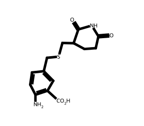 Nc1ccc(CSCC2CCC(=O)NC2=O)cc1C(=O)O